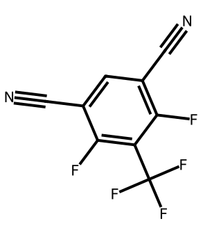 N#Cc1cc(C#N)c(F)c(C(F)(F)F)c1F